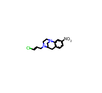 O=[N+]([O-])c1ccc2c(c1)N1CCN(CC=CCl)C(C2)C1